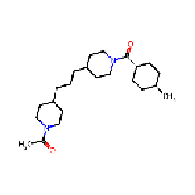 CC(=O)N1CCC(CCCC2CCN(C(=O)[C@H]3CC[C@H](C)CC3)CC2)CC1